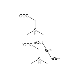 CCCCCCC[CH2][Sn+2][CH2]CCCCCCC.C[SH](C)CC(=O)[O-].C[SH](C)CC(=O)[O-]